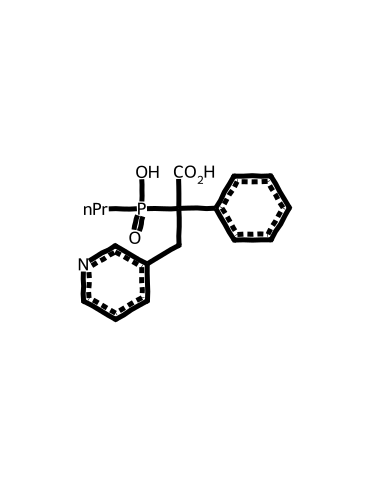 CCCP(=O)(O)C(Cc1cccnc1)(C(=O)O)c1ccccc1